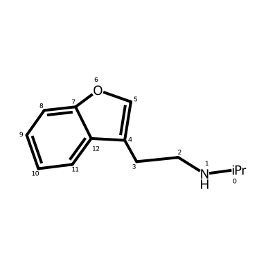 CC(C)NCCc1coc2ccccc12